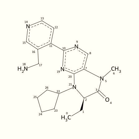 CC[C@@H]1C(=O)N(C)c2cnc(-c3ccncc3CN)nc2N1C1CCCC1